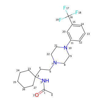 CC(=O)NC1(CCN2CCN(c3cccc(C(F)(F)F)c3)CC2)CCCCC1